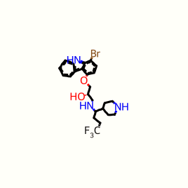 O[C@@H](CNC(CCC(F)(F)F)C1CCNCC1)COc1ccc(Br)c2[nH]c3ccccc3c12